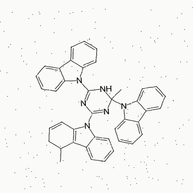 CC1CC=Cc2c1c1ccccc1n2C1=NC(C)(n2c3ccccc3c3ccccc32)NC(n2c3ccccc3c3ccccc32)=N1